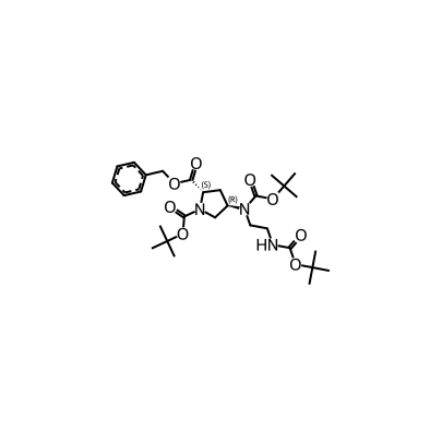 CC(C)(C)OC(=O)NCCN(C(=O)OC(C)(C)C)[C@@H]1C[C@@H](C(=O)OCc2ccccc2)N(C(=O)OC(C)(C)C)C1